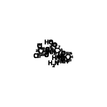 N=C(N)NN(c1cccc(C(CC(=O)O)NS(=O)(=O)c2cc(Cl)cc(Cl)c2)c1)S(=O)(=O)c1ccccc1